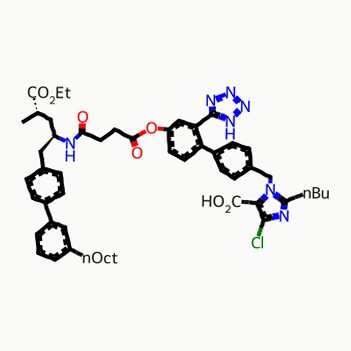 CCCCCCCCc1cccc(-c2ccc(C[C@@H](C[C@H](C)C(=O)OCC)NC(=O)CCC(=O)Oc3ccc(-c4ccc(Cn5c(CCCC)nc(Cl)c5C(=O)O)cc4)c(-c4nnn[nH]4)c3)cc2)c1